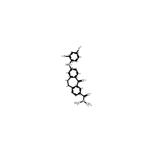 CN(C)C(=O)c1ccc2c(c1)C(=O)c1ccc(Nc3ccc(F)cc3F)cc1CC2